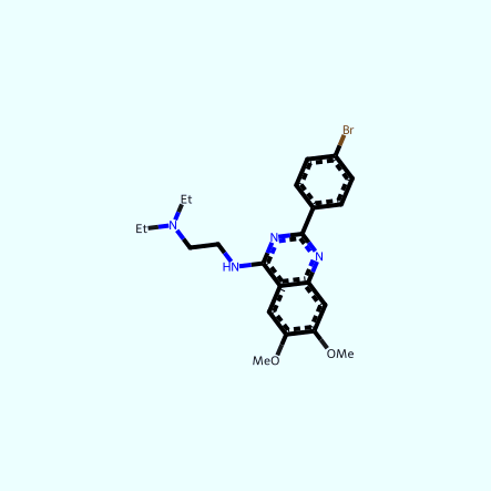 CCN(CC)CCNc1nc(-c2ccc(Br)cc2)nc2cc(OC)c(OC)cc12